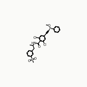 COP(C#Cc1cc(Cl)c(C(=O)NC(C)Cc2cccc(S(C)(=O)=O)c2)c(Cl)c1)c1ccccc1